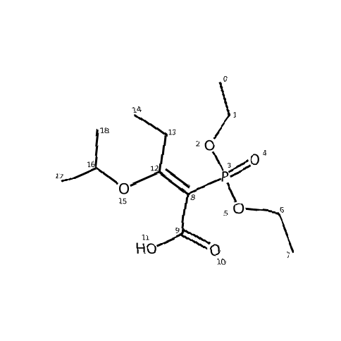 CCOP(=O)(OCC)C(C(=O)O)=C(CC)OC(C)C